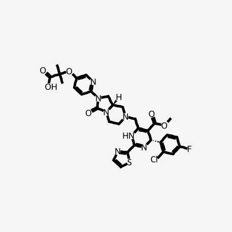 COC(=O)C1=C(CN2CCN3C(=O)N(c4ccc(OC(C)(C)C(=O)O)cn4)C[C@@H]3C2)NC(c2nccs2)=N[C@H]1c1ccc(F)cc1Cl